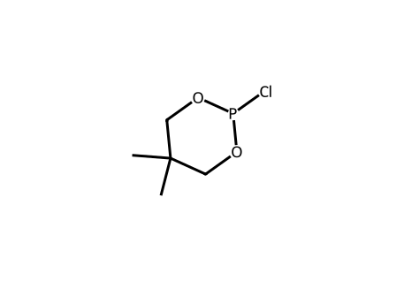 CC1(C)COP(Cl)OC1